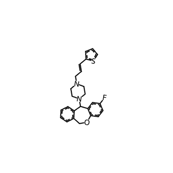 Fc1ccc2c(c1)C(N1CCN(CC=Cc3cccs3)CC1)c1ccccc1CO2